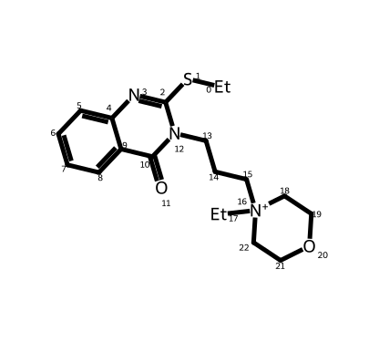 CCSc1nc2ccccc2c(=O)n1CCC[N+]1(CC)CCOCC1